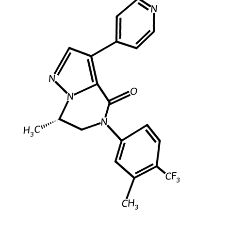 Cc1cc(N2C[C@H](C)n3ncc(-c4ccncc4)c3C2=O)ccc1C(F)(F)F